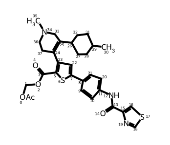 CC(=O)OCOC(=O)c1sc(-c2ccc(NC(=O)c3cscn3)cc2)cc1C1=C(C2CCC(C)CC2)CN(C)CC1